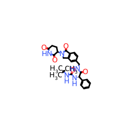 CC(C)(C)NC(=O)N[C@H](C(=O)NCc1ccc2c(c1)CN(C1CCC(=O)NC1=O)C2=O)c1ccccc1